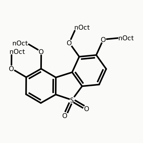 CCCCCCCCOc1ccc2c(c1OCCCCCCCC)-c1c(ccc(OCCCCCCCC)c1OCCCCCCCC)S2(=O)=O